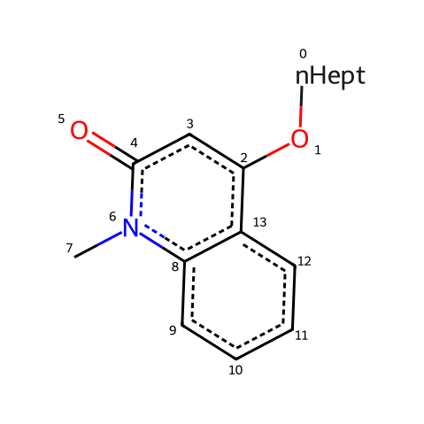 CCCCCCCOc1cc(=O)n(C)c2ccccc12